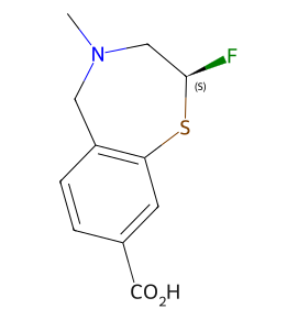 CN1Cc2ccc(C(=O)O)cc2S[C@H](F)C1